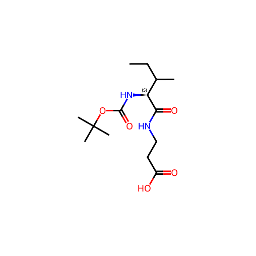 CCC(C)[C@H](NC(=O)OC(C)(C)C)C(=O)NCCC(=O)O